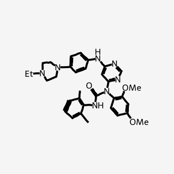 CCN1CCN(c2ccc(Nc3cc(N(C(=O)Nc4c(C)c#ccc4C)c4ccc(OC)cc4OC)ncn3)cc2)CC1